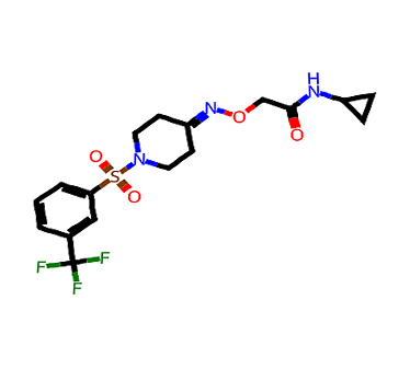 O=C(CON=C1CCN(S(=O)(=O)c2cccc(C(F)(F)F)c2)CC1)NC1CC1